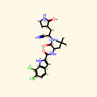 CC(C)(C)CC(NC(=O)c1cc2ccc(Cl)c(Cl)c2[nH]1)C(=O)NC(C#N)CC1CCNC1=O